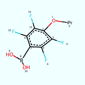 CC(C)Oc1c(F)c(F)c(B(O)O)c(F)c1F